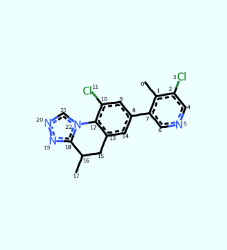 Cc1c(Cl)cncc1-c1cc(Cl)c2c(c1)CC(C)c1nncn1-2